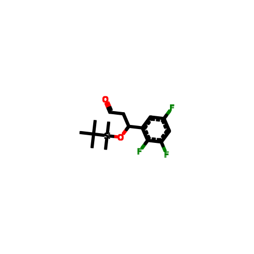 CC(C)(C)[Si](C)(C)OC(CC=O)c1cc(F)cc(F)c1F